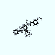 CC(C)c1cccc(C=NNc2cc(N3CCOCC3)n3nc(-c4ccncc4)nc3n2)c1